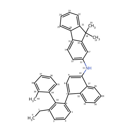 CCc1cccc(-c2ccc(Nc3ccc4c(c3)C(C)(C)c3ccccc3-4)c3ccccc23)c1-c1ccccc1C